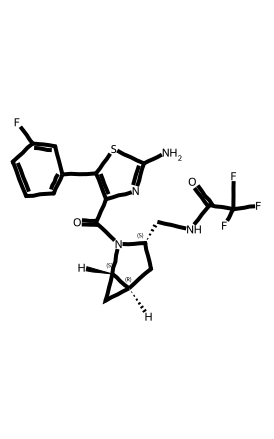 Nc1nc(C(=O)N2[C@H](CNC(=O)C(F)(F)F)C[C@H]3C[C@@H]32)c(-c2cccc(F)c2)s1